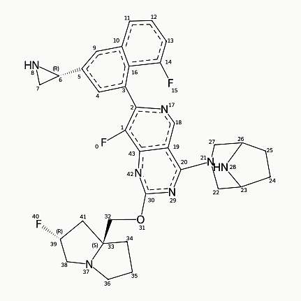 Fc1c(-c2cc([C@@H]3CN3)cc3cccc(F)c23)ncc2c(N3CC4CCC(C3)N4)nc(OC[C@@]34CCCN3C[C@H](F)C4)nc12